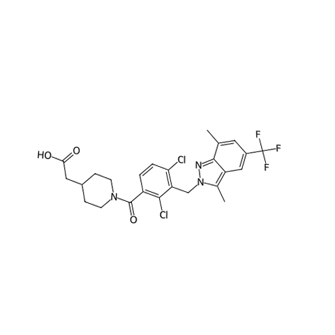 Cc1cc(C(F)(F)F)cc2c(C)n(Cc3c(Cl)ccc(C(=O)N4CCC(CC(=O)O)CC4)c3Cl)nc12